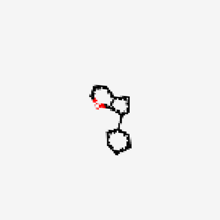 c1ccc(-c2ccc3cccoc2-3)cc1